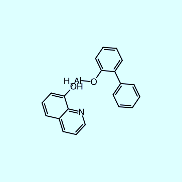 Oc1cccc2cccnc12.[AlH2][O]c1ccccc1-c1ccccc1